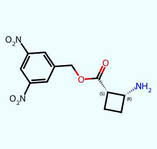 N[C@@H]1CC[C@@H]1C(=O)OCc1cc([N+](=O)[O-])cc([N+](=O)[O-])c1